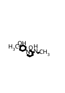 CCNc1cccn([C@H]2CC[C@](C)(O)CC2)c1=O